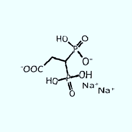 O=C([O-])CC(P(=O)([O-])O)P(=O)(O)O.[Na+].[Na+]